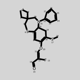 CCC1(CC)CSC2=CC(O/C=C(\F)C=O)=C(SC)CC2N(c2ccccc2)C1